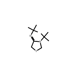 CC(C)(C)/N=C1/[CH2][Y][CH2]N1C(C)(C)C